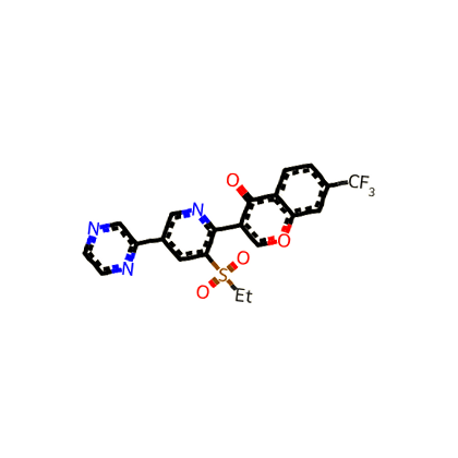 CCS(=O)(=O)c1cc(-c2cnccn2)cnc1-c1coc2cc(C(F)(F)F)ccc2c1=O